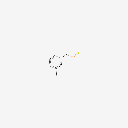 Cc1cccc(CP=S)c1